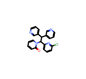 O=c1ccccn1C(c1cccc(Cl)n1)C(c1cccnc1)c1cccnc1